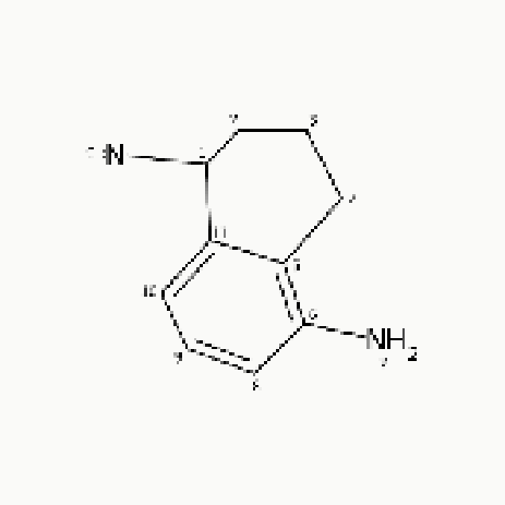 [N]C1CCCc2c(N)cccc21